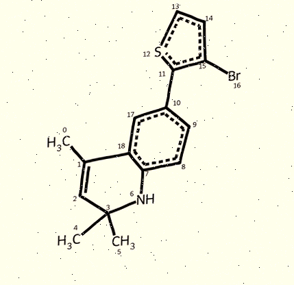 CC1=CC(C)(C)Nc2ccc(-c3sccc3Br)cc21